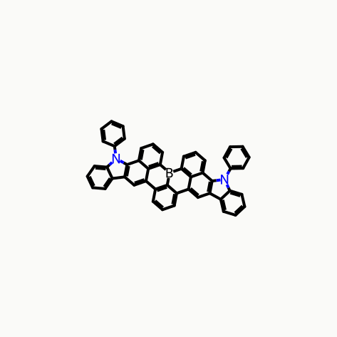 c1ccc(-n2c3ccccc3c3cc4c5c(cccc5c32)B2c3c-4cccc3-c3cc4c5ccccc5n(-c5ccccc5)c4c4cccc2c34)cc1